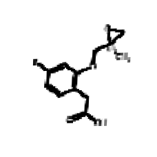 C[C@@]1(COc2cc(F)ccc2CC(=O)O)CO1